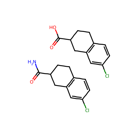 NC(=O)C1CCc2ccc(Cl)cc2C1.O=C(O)C1CCc2ccc(Cl)cc2C1